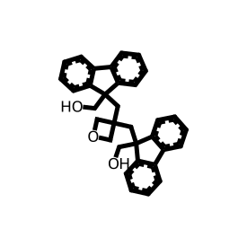 OCC1(CC2(CC3(CO)c4ccccc4-c4ccccc43)COC2)c2ccccc2-c2ccccc21